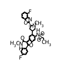 CCS(=O)(=O)Nc1cc2oc(-c3ccc(F)cc3)c(C(=O)NC)c2cc1C1C[C@@H](c2nc3c(F)cccc3o2)N(C)C1